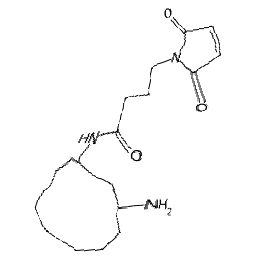 NC1CCCCCCCC(NC(=O)CCCN2C(=O)C=CC2=O)C1